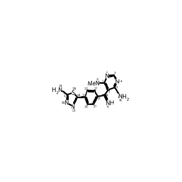 CNc1ncnc(N)c1C(=N)c1ccc(-c2nnc(N)s2)cc1